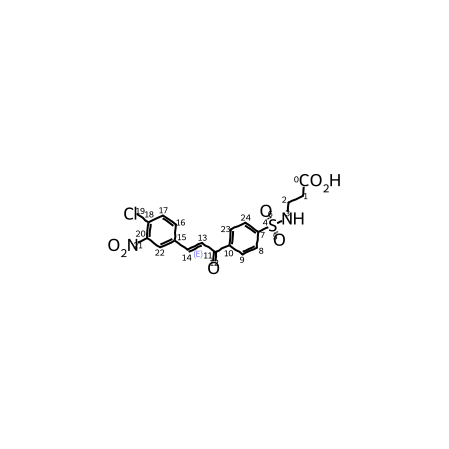 O=C(O)CCNS(=O)(=O)c1ccc(C(=O)/C=C/c2ccc(Cl)c([N+](=O)[O-])c2)cc1